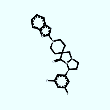 O=C1N2[C@H](c3cc(F)cc(F)c3)CCN2CC12CCN(c1nc3ccccc3o1)CC2